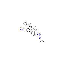 Cc1cc(-c2ccccc2)nc(-c2cccc3c2-c2ccccc2C32c3ccccc3-c3c(-c4cccc(-c5cccnc5C)c4)cccc32)n1